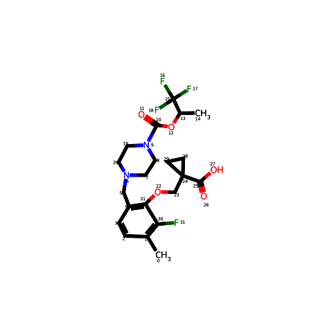 Cc1ccc(CN2CCN(C(=O)OC(C)C(F)(F)F)CC2)c(OCC2(C(=O)O)CC2)c1F